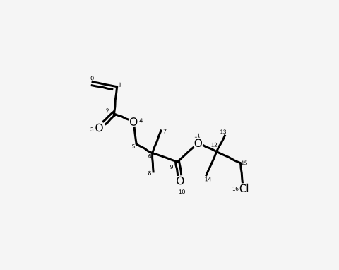 C=CC(=O)OCC(C)(C)C(=O)OC(C)(C)CCl